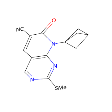 CSc1ncc2cc(C#N)c(=O)n(C34CC(C3)C4)c2n1